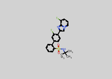 CC(C)(C)NS(=O)(=O)c1ccccc1-c1ccc(-c2cn3cccc(F)c3n2)c(F)c1